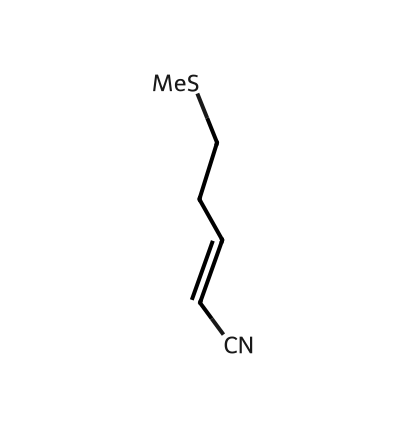 CSCCC=CC#N